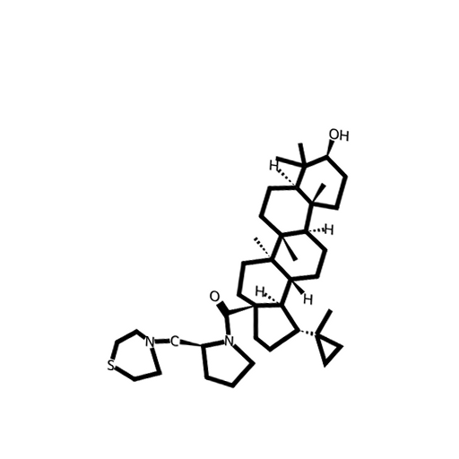 CC1([C@@H]2CC[C@]3(C(=O)N4CCC[C@H]4CN4CCSCC4)CC[C@]4(C)[C@H](CC[C@@H]5[C@@]6(C)CC[C@H](O)C(C)(C)[C@@H]6CC[C@]54C)[C@@H]23)CC1